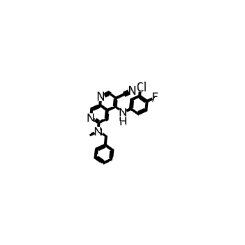 CN(Cc1ccccc1)c1cc2c(Nc3ccc(F)c(Cl)c3)c(C#N)cnc2cn1